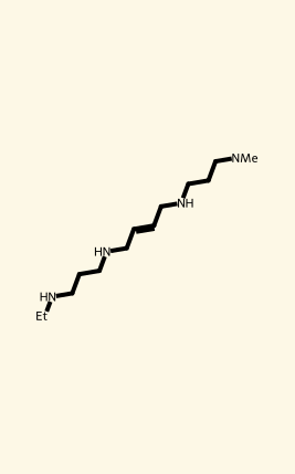 CCNCCCNCC=CCNCCCNC